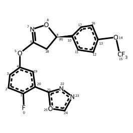 Fc1ccc(OC2=NO[C@@H](c3ccc(OC(F)(F)F)cc3)C2)cc1-c1nnco1